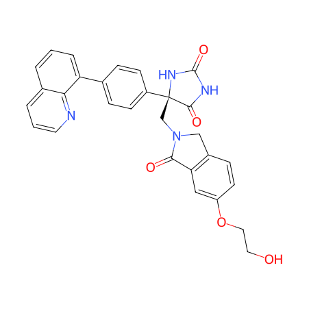 O=C1NC(=O)[C@](CN2Cc3ccc(OCCO)cc3C2=O)(c2ccc(-c3cccc4cccnc34)cc2)N1